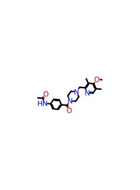 COc1c(C)cnc(CN2CCN(C(=O)c3ccc(NC(C)=O)cc3)CC2)c1C